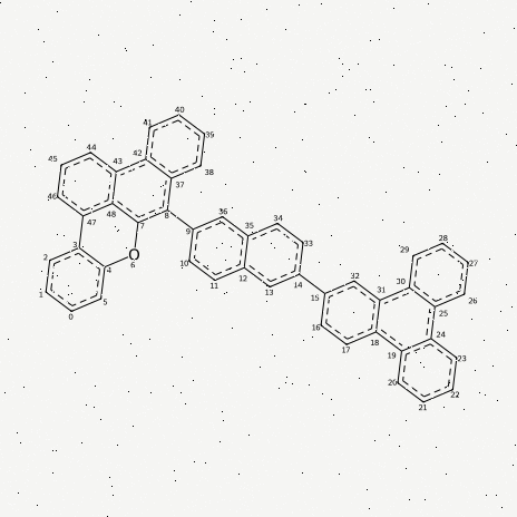 c1ccc2c(c1)Oc1c(-c3ccc4cc(-c5ccc6c7ccccc7c7ccccc7c6c5)ccc4c3)c3ccccc3c3cccc-2c13